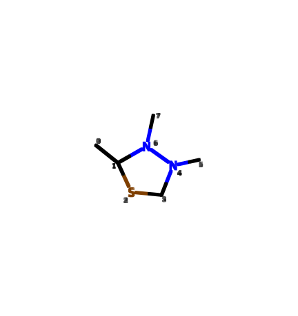 CC1SCN(C)N1C